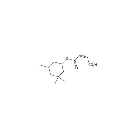 CC1CC(OC(=O)/C=C\C(=O)O)CC(C)(C)C1